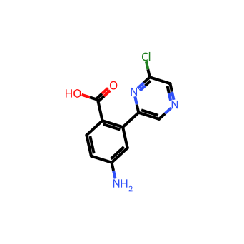 Nc1ccc(C(=O)O)c(-c2cncc(Cl)n2)c1